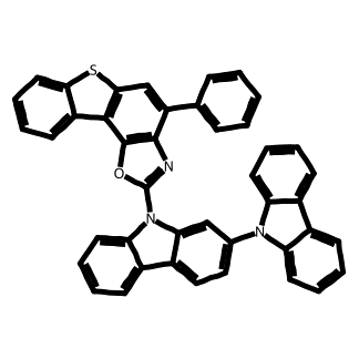 c1ccc(-c2cc3sc4ccccc4c3c3oc(-n4c5ccccc5c5ccc(-n6c7ccccc7c7ccccc76)cc54)nc23)cc1